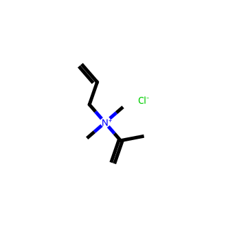 C=CC[N+](C)(C)C(=C)C.[Cl-]